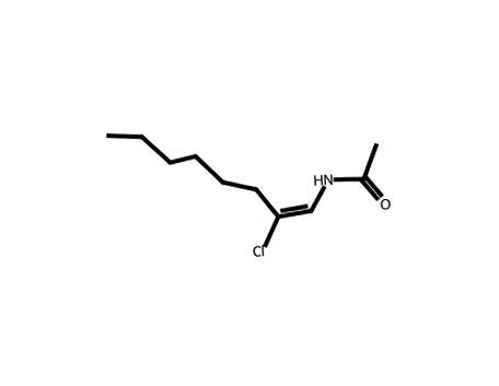 CCCCCC/C(Cl)=C\NC(C)=O